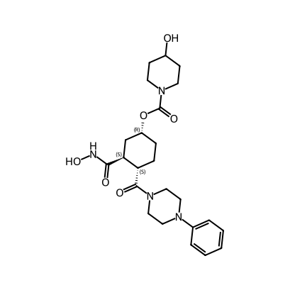 O=C(NO)[C@H]1C[C@H](OC(=O)N2CCC(O)CC2)CC[C@@H]1C(=O)N1CCN(c2ccccc2)CC1